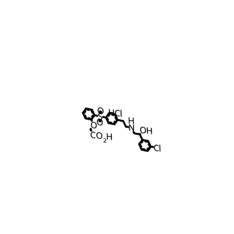 Cl.O=C(O)COc1ccccc1S(=O)(=O)c1ccc(CCNCC(O)c2cccc(Cl)c2)cc1